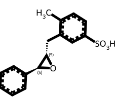 Cc1ccc(S(=O)(=O)O)cc1C[C@@H]1O[C@H]1c1ccccc1